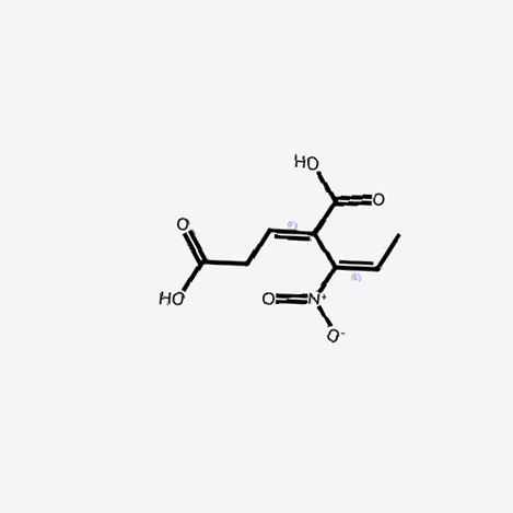 C/C=C(\C(=C/CC(=O)O)C(=O)O)[N+](=O)[O-]